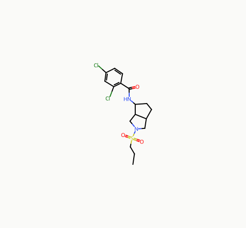 CCCS(=O)(=O)N1CC2CCC(NC(=O)c3ccc(Cl)cc3Cl)C2C1